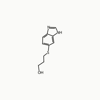 OCCCSc1ccc2nc[nH]c2c1